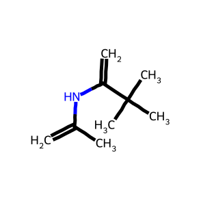 C=C(C)NC(=C)C(C)(C)C